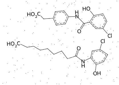 O=C(O)CCCCCCCC(=O)Nc1cc(Cl)ccc1O.O=C(O)Cc1ccc(NC(=O)c2cc(Cl)ccc2O)cc1